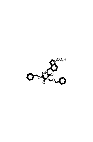 O=C(O)n1ccc2c(Cn3nc(OCc4ccccc4)c(=O)n(COCc4ccccc4)c3=O)cccc21